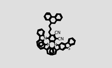 N#Cc1c(C#N)c(-n2c3ccccc3c3cc4sc5ccccc5c4cc32)c(-n2c3c(c4ccccc42)CCC=C3)c(-n2c3ccccc3c3ccccc32)c1CCCC1Cc2ccccc2-c2c#cccc21